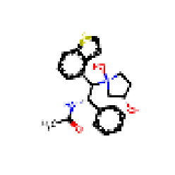 CC(=O)N[C@@H](c1ccccc1)C(c1cccc2sccc12)[N+]1(O)CC[C@H](O)C1